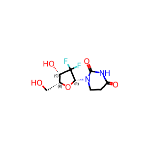 O=C1CCN([C@@H]2O[C@H](CO)[C@H](O)C2(F)F)C(=O)N1